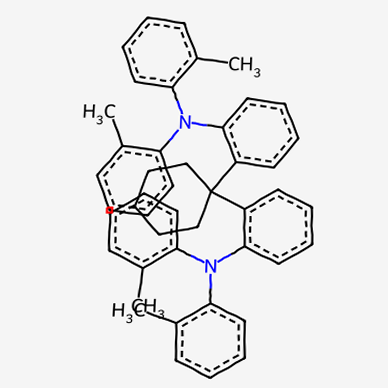 Cc1ccccc1N(c1ccccc1C)c1ccccc1C1(c2ccccc2N(c2ccccc2C)c2ccccc2C)CCCCC1